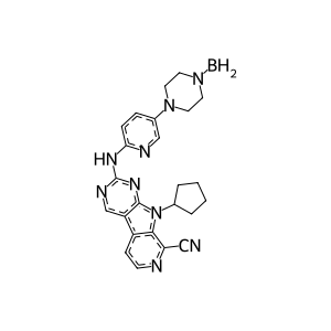 BN1CCN(c2ccc(Nc3ncc4c5ccnc(C#N)c5n(C5CCCC5)c4n3)nc2)CC1